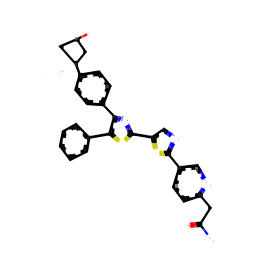 C[C@]1(O)C[C@@](N)(c2ccc(-c3nc(-c4cnc(-c5ccc(CC(N)=O)nc5)s4)sc3-c3ccccc3)cc2)C1